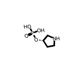 O=P(O)(O)O[C@H]1CCNC1